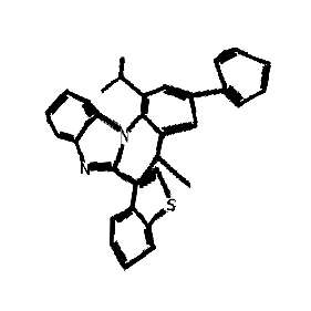 CC(C)c1cc(-c2ccccc2)cc(C(C)C)c1-n1c(-c2csc3ccccc23)nc2ccccc21